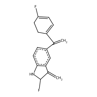 C=C(C1=CC=C(F)CC1)c1ccc2c(c1)C(=C)C(F)N2